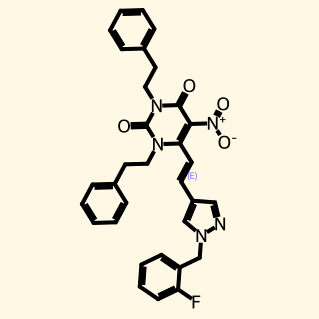 O=c1c([N+](=O)[O-])c(/C=C/c2cnn(Cc3ccccc3F)c2)n(CCc2ccccc2)c(=O)n1CCc1ccccc1